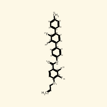 C=CCOc1ccc(C(=O)Oc2ccc(-c3ccc(-c4ccc(C)cc4)c(F)c3F)cc2)c(F)c1F